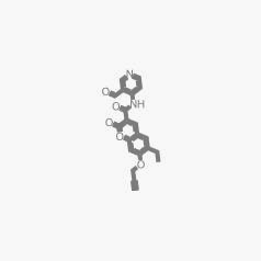 C#CCOc1cc2oc(=O)c(C(=O)Nc3ccncc3C=O)cc2cc1CC